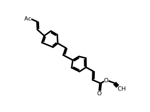 C#COC(=O)C=Cc1ccc(C=Cc2ccc(C=CC(C)=O)cc2)cc1